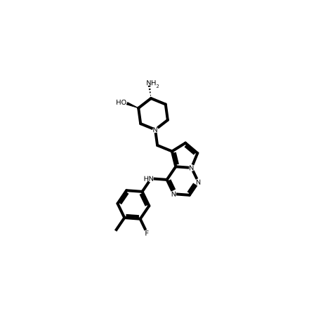 Cc1ccc(Nc2ncnn3ccc(CN4CC[C@@H](N)[C@H](O)C4)c23)cc1F